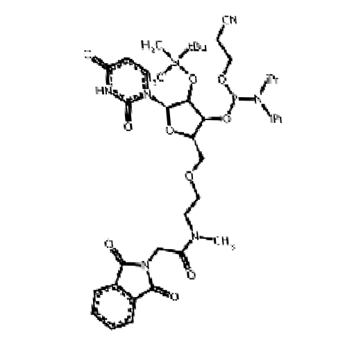 CC(C)N(C(C)C)P(OCCC#N)O[C@@H]1C(O[Si](C)(C)C(C)(C)C)[C@H](n2ccc(=O)[nH]c2=O)O[C@@H]1COCCN(C)C(=O)CN1C(=O)c2ccccc2C1=O